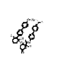 CCCCCOc1ccc(-c2ccc(C3C(CC)CCCC3(C#N)C(=O)O)cc2)cc1.CCCCOc1ccc(-c2ccc(OC(=O)C3(C#N)CCCC(CC)C3)cc2)cc1